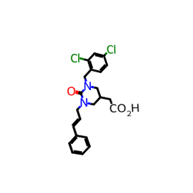 O=C(O)CC1CN(CC=Cc2ccccc2)C(=O)N(Cc2ccc(Cl)cc2Cl)C1